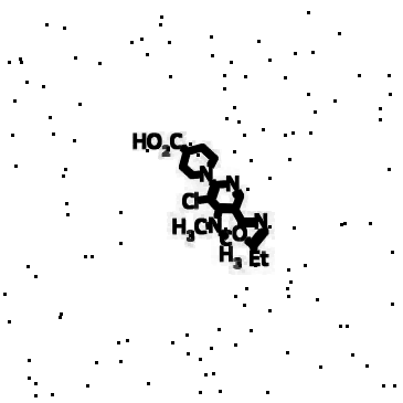 CCc1cnc(-c2cnc(N3CCC(C(=O)O)CC3)c(Cl)c2N(C)C)o1